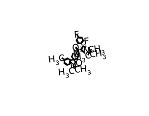 Cc1ccc2c(c1)C1(CCN(C(=O)[C@@H]3CN(C(C)(C)C)C[C@H]3c3ccc(F)cc3F)CC1)C(=O)N2C(C)C